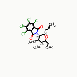 C=CC[C@@H]1OC(COC(C)=O)[C@H](OC(C)=O)C(OC(C)=O)[C@@H]1N1C(=O)c2c(Cl)c(Cl)c(Cl)c(Cl)c2C1=O